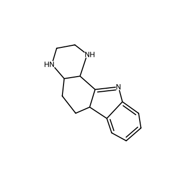 c1ccc2c(c1)N=C1C2CCC2NCCNC12